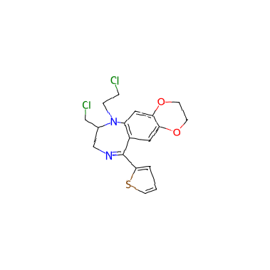 ClCCN1c2cc3c(cc2C(c2cccs2)=NCC1CCl)OCCO3